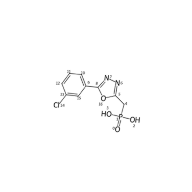 O=P(O)(O)Cc1nnc(-c2cccc(Cl)c2)o1